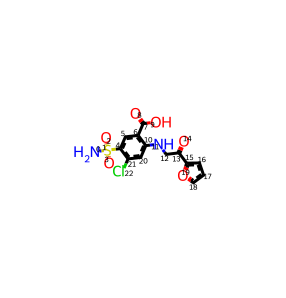 NS(=O)(=O)c1cc(C(=O)O)c(NCC(=O)c2ccco2)cc1Cl